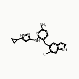 Nc1ncc(Cc2cc3cc[nH]c3cc2Cl)c(Nc2cc(C3CC3)[nH]n2)n1